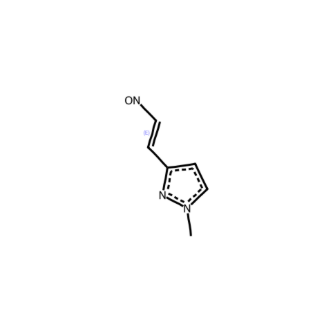 Cn1ccc(/C=C/N=O)n1